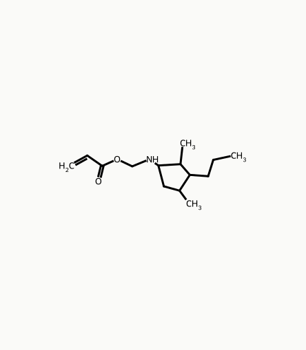 C=CC(=O)OCNC1CC(C)C(CCC)C1C